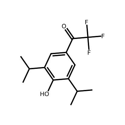 CC(C)c1cc(C(=O)C(F)(F)F)cc(C(C)C)c1O